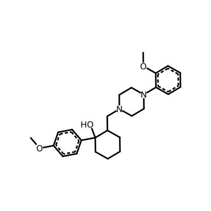 COc1ccc(C2(O)CCCCC2CN2CCN(c3ccccc3OC)CC2)cc1